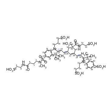 CN(CCCC(=O)NCCS(=O)(=O)O)S(=O)(=O)c1ccc2c(c1)C(C)(C)/C(=C\C=C1C=C(/C=C/C3=[N+](CCCS(=O)(=O)O)c4ccc(S(=O)(=O)O)cc4C3(C)C)CC(C(=O)O)(C(=O)NCCS(=O)(=O)O)C\1)N2CCCS(=O)(=O)O